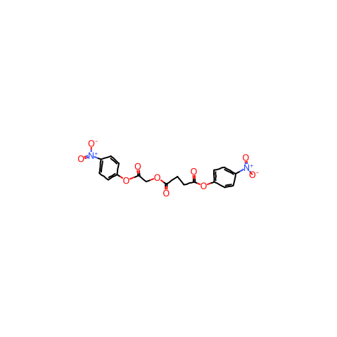 O=C(CCC(=O)Oc1ccc([N+](=O)[O-])cc1)OCC(=O)Oc1ccc([N+](=O)[O-])cc1